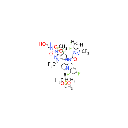 CC(C)(C#Cc1ccc(-c2ccc(Cl)c3c(N(C(=O)NCCO)S(C)(=O)=O)nn(CC(F)(F)F)c23)c([C@H](Cc2cc(F)cc(F)c2)NC(=O)Cn2nc(C(F)(F)F)c3c2C(F)(F)[C@@H]2C[C@H]32)n1)S(C)(=O)=O